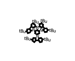 CC(C)(C)c1cc2c3c(c1)c1c(n3-c3cc(-n4c5cc(C(C)(C)C)ccc5c5ccc(C(C)(C)C)cc54)cc4c3B2c2cc(C(C)(C)C)cc3c5cc(C(C)(C)C)ccc5n-4c23)C=CC(C(C)(C)C)C1